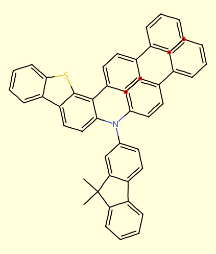 CC1(C)c2ccccc2-c2ccc(N(c3ccc(-c4ccccc4)cc3)c3ccc4c(sc5ccccc54)c3-c3ccc(-c4ccccc4)cc3)cc21